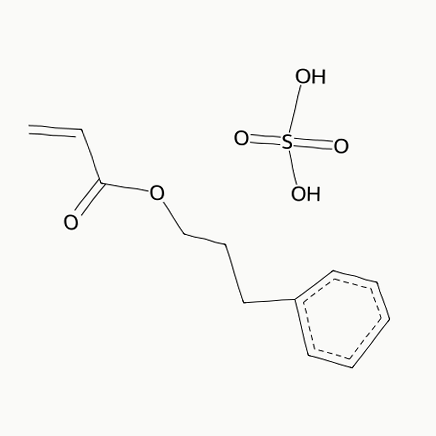 C=CC(=O)OCCCc1ccccc1.O=S(=O)(O)O